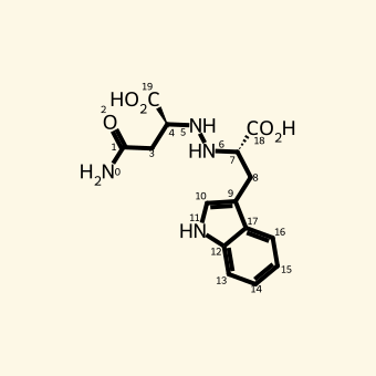 NC(=O)C[C@H](NN[C@@H](Cc1c[nH]c2ccccc12)C(=O)O)C(=O)O